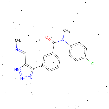 C/N=C/c1[nH]nnc1-c1cccc(C(=O)N(C)c2ccc(Cl)cc2)c1